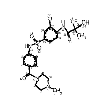 CN1CCN(C(=O)c2ccc(NS(=O)(=O)c3ccc(NC(=O)[C@@](C)(O)C(F)(F)F)c(Cl)c3)cc2)CC1